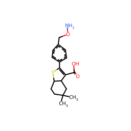 CC1(C)CCC2SC(c3ccc(CON)cc3)=C(C(=O)O)C2C1